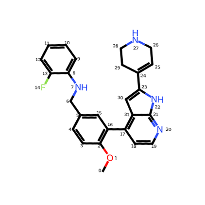 COc1ccc(CNc2ccccc2F)cc1-c1ccnc2[nH]c(C3=CCNCC3)cc12